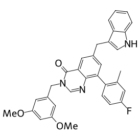 COc1cc(Cn2cnc3c(-c4ccc(F)cc4C)cc(Cc4c[nH]c5ccccc45)cc3c2=O)cc(OC)c1